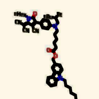 [C-]#[N+]/C(C#N)=C1/C(C#N)=C(c2ccc(N(CCCCCC(=O)OCc3ccc4c(c3)c3ccccc3n4CCCCCCO)CC(CC)CCCC)cc2)C(=O)N1CCCCCC